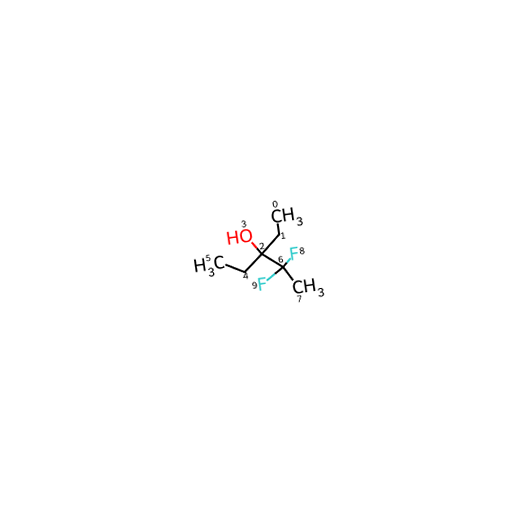 CCC(O)(CC)C(C)(F)F